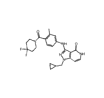 Cc1cc(Nc2nn(CC3CC3)c3cc[nH]c(=O)c23)ccc1C(=O)N1CCC(F)(F)CC1